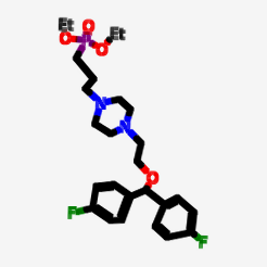 CCOP(=O)(CCCN1CCN(CCOC(c2ccc(F)cc2)c2ccc(F)cc2)CC1)OCC